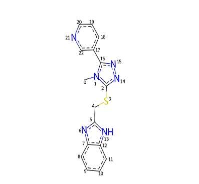 Cn1c(SCc2nc3ccccc3[nH]2)nnc1-c1cccnc1